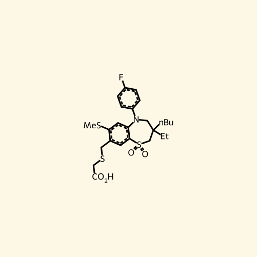 CCCCC1(CC)CN(c2ccc(F)cc2)c2cc(SC)c(CSCC(=O)O)cc2S(=O)(=O)C1